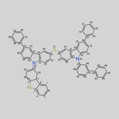 C1=C2Sc3ccccc3C2CC(n2c3ccc(Sc4ccc5c(c4)c4cc(-c6ccccc6)ccc4n5-c4cccc(-c5ccccc5)c4)cc3c3cc(-c4ccccc4)ccc32)=C1